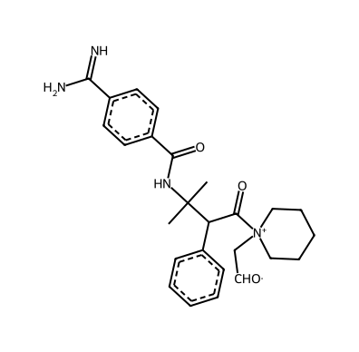 CC(C)(NC(=O)c1ccc(C(=N)N)cc1)C(C(=O)[N+]1(C[C]=O)CCCCC1)c1ccccc1